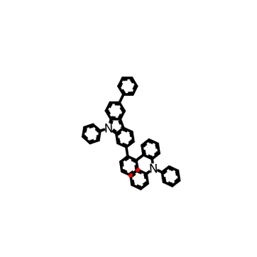 c1ccc(-c2ccc3c(c2)c2ccc(-c4ccccc4-c4ccccc4N(c4ccccc4)c4ccccc4)cc2n3-c2ccccc2)cc1